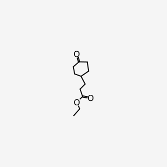 CCOC(=O)CCC1CCC(=O)CC1